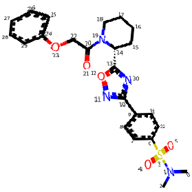 CN(C)S(=O)(=O)c1ccc(-c2noc([C@H]3CCCCN3C(=O)COc3ccccc3)n2)cc1